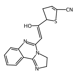 N#CC1=CCC(/C(O)=C/C2=Nc3ccccc3C3=NCCN23)S1